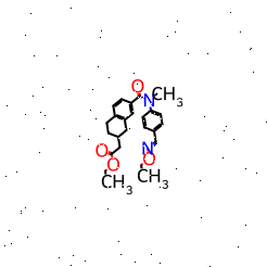 CCON=Cc1ccc(N(C)C(=O)c2ccc3c(c2)CC(CC(=O)OCC)CC3)cc1